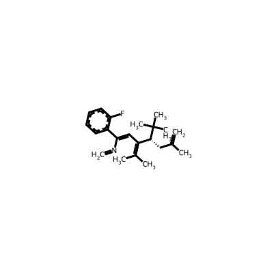 C=N/C(=C\C(=C(C)C)[C@@H](CC(=C)C)C(C)(C)C)c1ccccc1F